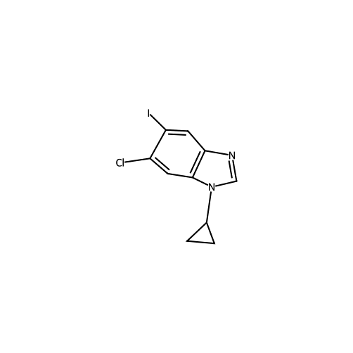 Clc1cc2c(cc1I)ncn2C1CC1